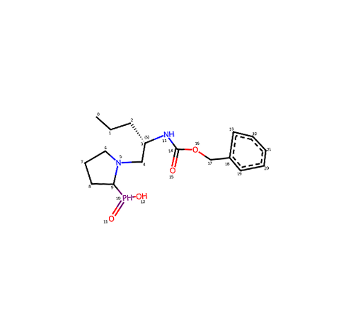 CCC[C@@H](CN1CCCC1[PH](=O)O)NC(=O)OCc1ccccc1